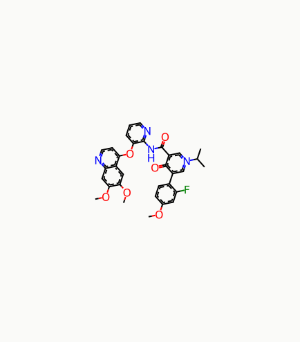 COc1ccc(-c2cn(C(C)C)cc(C(=O)Nc3ncccc3Oc3ccnc4cc(OC)c(OC)cc34)c2=O)c(F)c1